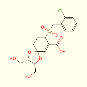 O=C(O)C1=CC2(CCC1S(=O)(=O)Cc1ccccc1Cl)O[C@@H](CO)[C@H](CO)O2